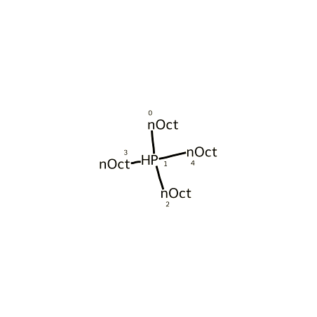 CCCCCCCC[PH](CCCCCCCC)(CCCCCCCC)CCCCCCCC